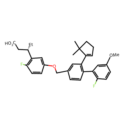 CC[C@@H](CC(=O)O)c1cc(OCc2ccc(-c3cc(OC)ccc3F)c(C3=CCCC3(C)C)c2)ccc1F